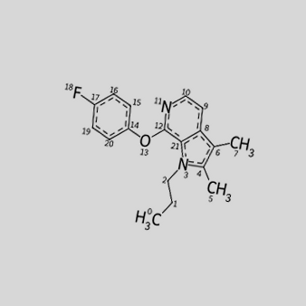 CCCn1c(C)c(C)c2ccnc(Oc3ccc(F)cc3)c21